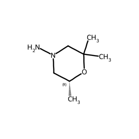 C[C@@H]1CN(N)CC(C)(C)O1